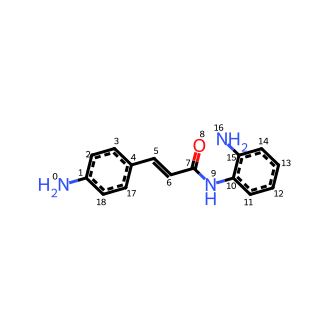 Nc1ccc(C=CC(=O)Nc2ccccc2N)cc1